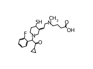 CN(C/C=C1/CN(C(C(=O)C2CC2)c2ccccc2F)CCC1S)CCCC(=O)O